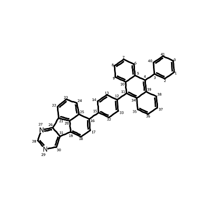 c1ccc(-c2c3ccccc3c(-c3ccc(-c4ccc5c6c(cccc46)-c4ncncc4-5)cc3)c3ccccc23)cc1